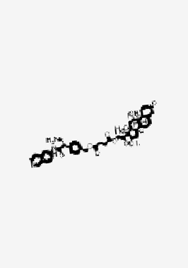 C[C@@H]1C[C@H]2[C@@H]3CCC4=CC(=O)C=C[C@]4(C)[C@@]3(F)[C@@H](O)C[C@]2(C)[C@@]1(O)C(=O)COC(=O)CCC(=O)OCc1ccc([C@@H](CN)C(=O)Nc2ccc3cnccc3c2)cc1